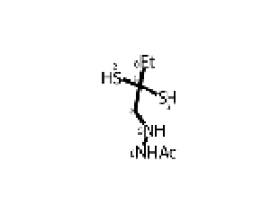 CCC(S)(S)CNNC(C)=O